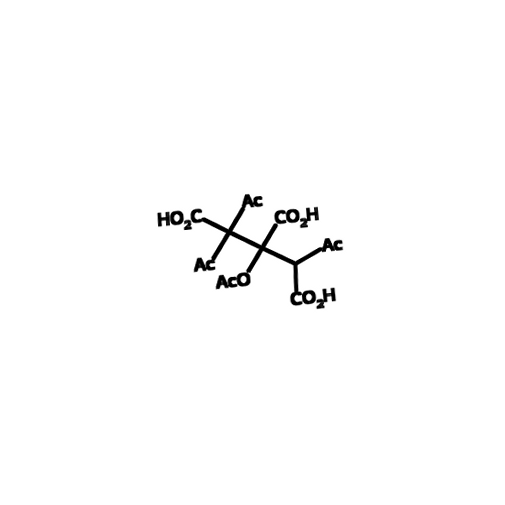 CC(=O)OC(C(=O)O)(C(C(C)=O)C(=O)O)C(C(C)=O)(C(C)=O)C(=O)O